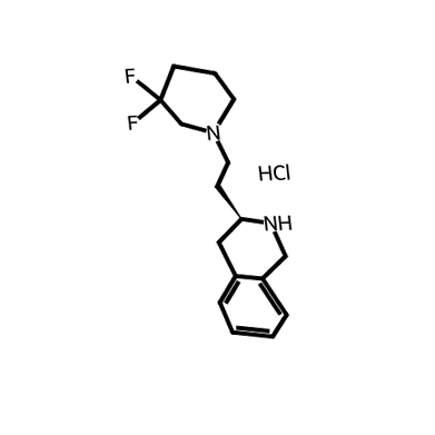 Cl.FC1(F)CCCN(CC[C@@H]2Cc3ccccc3CN2)C1